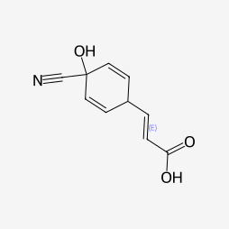 N#CC1(O)C=CC(/C=C/C(=O)O)C=C1